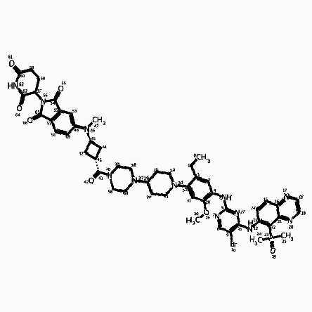 CCc1cc(Nc2ncc(Br)c(Nc3ccc4nccnc4c3P(C)(C)=O)n2)c(OC)cc1N1CCC(N2CCN(C(=O)[C@H]3C[C@H](N(C)c4ccc5c(c4)C(=O)N(C4CCC(=O)NC4=O)C5=O)C3)CC2)CC1